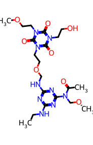 CCNc1nc(NCOCCn2c(=O)n(CCO)c(=O)n(CCOC)c2=O)nc(N(COC)C(C)=O)n1